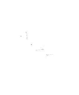 COC(=O)C(=O)CC(C)(C)C1CC1